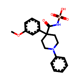 COc1cccc(C2(C(=O)NS(=O)(=O)O)CCN(c3ccccc3)CC2)c1